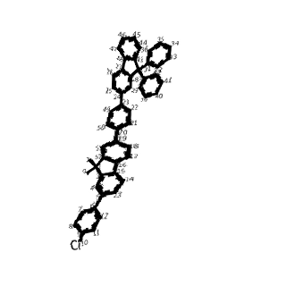 CC1(C)c2cc(-c3ccc(Cl)cc3)ccc2-c2ccc(-c3ccc(-c4ccc5c(c4)C(c4ccccc4)(c4ccccc4)c4ccccc4-5)cc3)cc21